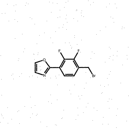 Fc1c(CBr)ccc(-c2ncco2)c1F